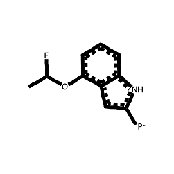 CC(F)Oc1cccc2[nH]c(C(C)C)cc12